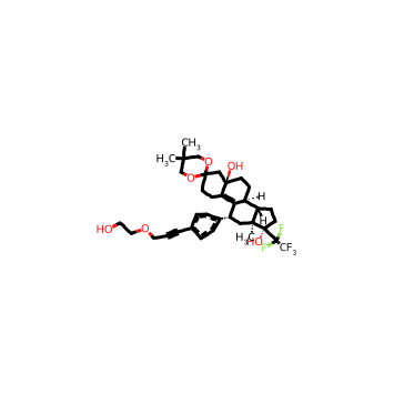 CC1(C)COC2(CCC3=C4[C@@H](CC[C@@]3(O)C2)[C@@H]2CC[C@@](O)(C(F)(F)C(F)(F)F)[C@@]2(C)C[C@@H]4c2ccc(C#CCOCCO)cc2)OC1